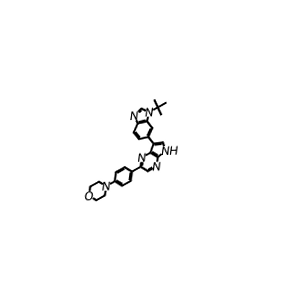 CC(C)(C)n1cnc2ccc(-c3c[nH]c4ncc(-c5ccc(N6CCOCC6)cc5)nc34)cc21